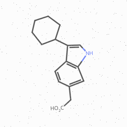 O=C(O)Cc1ccc2c(C3CCCCC3)c[nH]c2c1